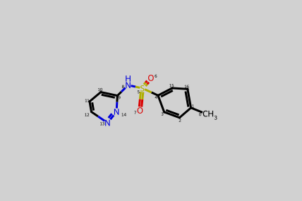 Cc1ccc(S(=O)(=O)Nc2cccnn2)cc1